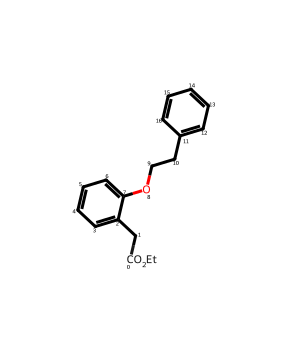 CCOC(=O)Cc1ccccc1OCCc1ccccc1